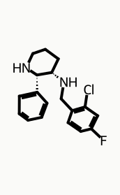 Fc1ccc(CN[C@H]2CCCN[C@H]2c2ccccc2)c(Cl)c1